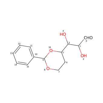 O=CC(O)C(O)C1CCOC(c2ccccc2)O1